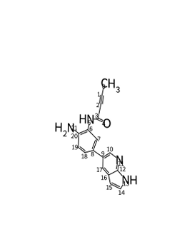 CC#CC(=O)Nc1cc(-c2cnc3[nH]ccc3c2)ccc1N